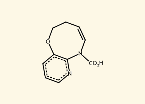 O=C(O)N1C=CCCOc2cccnc21